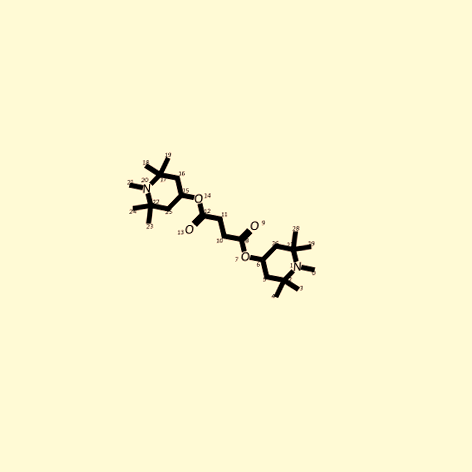 CN1C(C)(C)CC(OC(=O)CCC(=O)OC2CC(C)(C)N(C)C(C)(C)C2)CC1(C)C